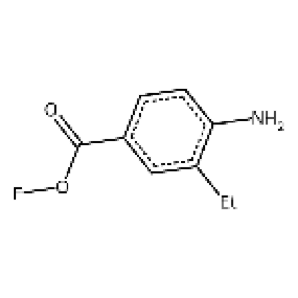 CCc1cc(C(=O)OF)ccc1N